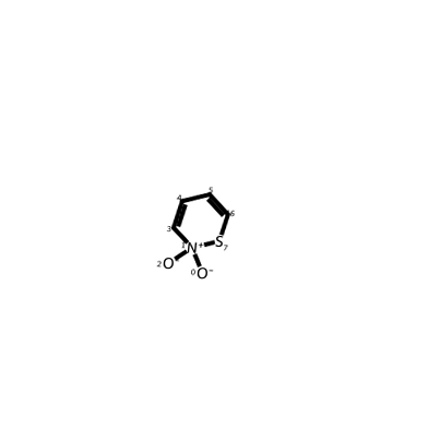 [O-][N+]1([O-])C=CC=[C]S1